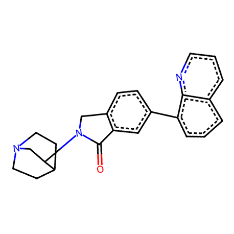 O=C1c2cc(-c3cccc4cccnc34)ccc2CN1C1CN2CCC1CC2